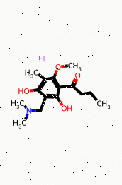 CCCC(=O)c1c(O)c(CN(C)C)c(O)c(C)c1OC.I